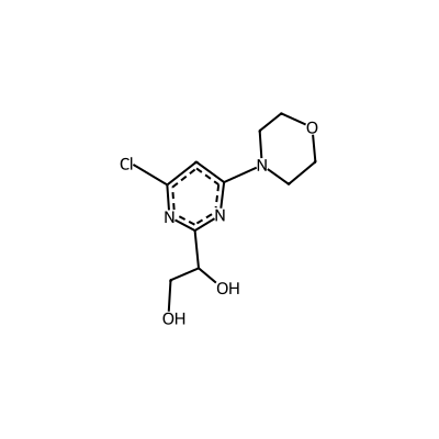 OCC(O)c1nc(Cl)cc(N2CCOCC2)n1